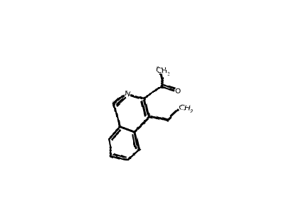 CCc1c(C(C)=O)ncc2ccccc12